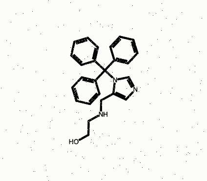 OCCNCc1cncn1C(c1ccccc1)(c1ccccc1)c1ccccc1